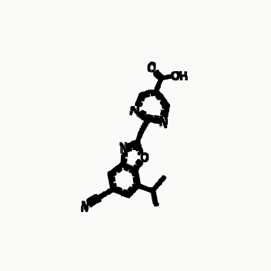 CC(C)c1cc(C#N)cc2nc(-c3ncc(C(=O)O)cn3)oc12